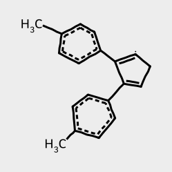 Cc1ccc(C2=[C]CC=C2c2ccc(C)cc2)cc1